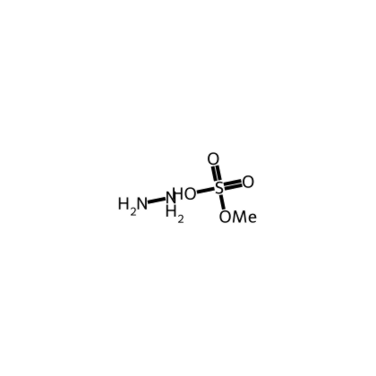 COS(=O)(=O)O.NN